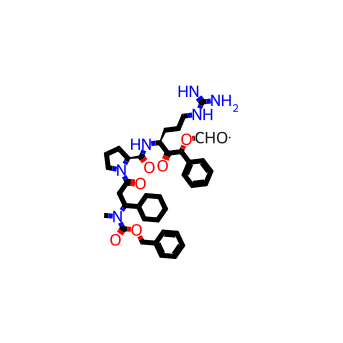 CN(C(=O)OCc1ccccc1)C(CC(=O)N1CCC[C@H]1C(=O)N[C@@H](CCCNC(=N)N)C(=O)C(O[C]=O)c1ccccc1)C1CCCCC1